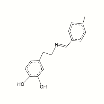 Cc1ccc(C=NCCc2ccc(O)c(O)c2)cc1